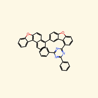 c1ccc(-c2nc(-c3ccccc3)nc(-c3cccc4oc5ccc(-c6cccc7c6ccc6oc8ccccc8c67)cc5c34)n2)cc1